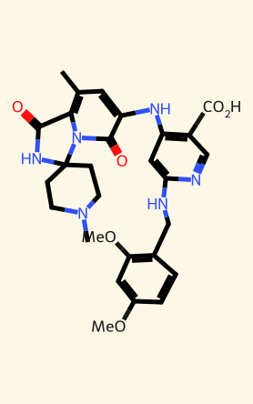 COc1ccc(CNc2cc(Nc3cc(C)c4n(c3=O)C3(CCN(C)CC3)NC4=O)c(C(=O)O)cn2)c(OC)c1